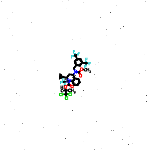 COC(=O)N(Cc1cc(C(F)(F)F)cc(C(F)(F)F)c1)C1C[C@H](C2CC2)[N@@+](C(=O)OC(C)(C)C(Cl)(Cl)Cl)(C(F)(F)F)c2ccccc21